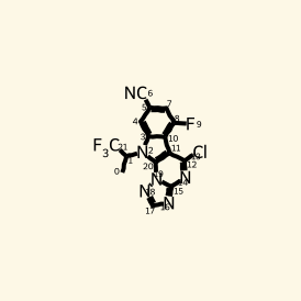 CC(n1c2cc(C#N)cc(F)c2c2c(Cl)nc3ncnn3c21)C(F)(F)F